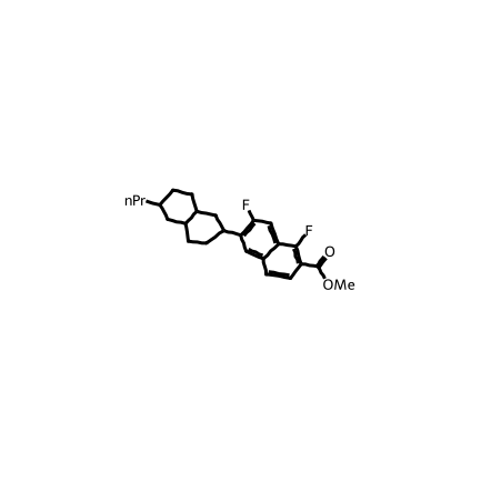 CCCC1CCC2CC(c3cc4ccc(C(=O)OC)c(F)c4cc3F)CCC2C1